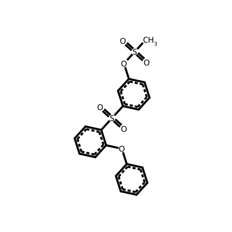 CS(=O)(=O)Oc1cccc(S(=O)(=O)c2ccccc2Oc2ccccc2)c1